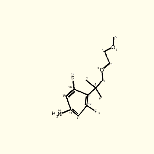 COCCOCC(C)(C)c1c(F)cc(N)cc1F